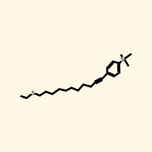 CCSCCCCCCCCCC#Cc1ccc([Si](C)(C)C)cc1